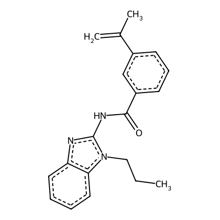 C=C(C)c1cccc(C(=O)Nc2nc3ccccc3n2CCC)c1